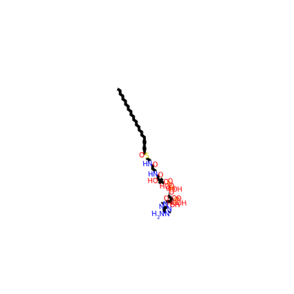 CCCCCCCCCCCCCCCCCCCCC#CC#CC(=O)SCCNC(=O)CCNC(=O)C(O)C(C)(C)COP(=O)(O)OP(=O)(O)OC[C@H]1O[C@@H](n2cnc3c(N)ncnc32)[C@H](O)[C@@H]1OP(=O)(O)O